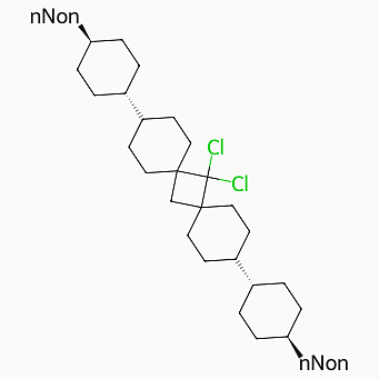 CCCCCCCCC[C@H]1CC[C@H](C2CCC3(CC2)CC2(CCC([C@H]4CC[C@H](CCCCCCCCC)CC4)CC2)C3(Cl)Cl)CC1